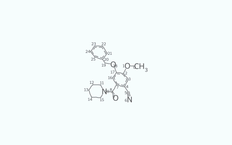 COc1cc(C#N)c(C(=O)N2CCCCC2)cc1OCc1ccccc1